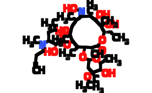 C#CCCN(C)[C@H]1C[C@@H](C)OC(O[C@@H]2C(C)[C@H](OC3C[C@@](C)(OC)[C@@H](O)[C@H](C)O3)[C@@H](C)C(=O)O[C@H](CC)[C@@](C)(O)[C@H](O)[C@@H](C)/C(=N/O)[C@H](C)C[C@@]2(C)O)[C@@H]1O